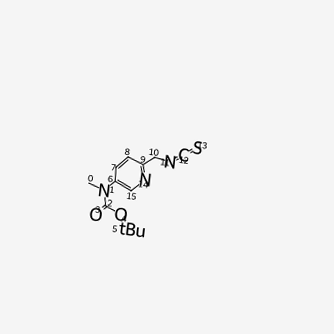 CN(C(=O)OC(C)(C)C)c1ccc(CN=C=S)nc1